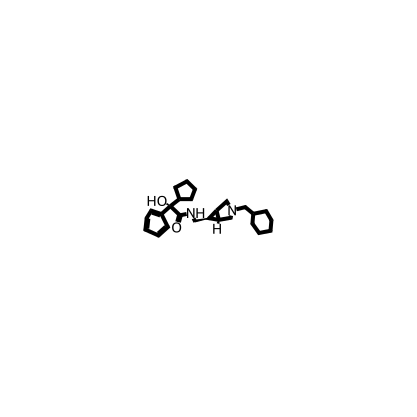 O=C(NC[C@H]1C2CN(CC3CCCCC3)C[C@@H]21)[C@@](O)(c1ccccc1)C1CCCC1